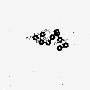 Cc1cc(C)c(B(c2cccc(-c3cccc(-c4ccc(C56CC7CC(C5)CC(c5cc(C(C)C)c(B8c9ccccc9-c9ccccc98)c(C(C)C)c5)(C7)C6)cc4)n3)c2)c2c(C)cc(C)cc2C)c(C)c1